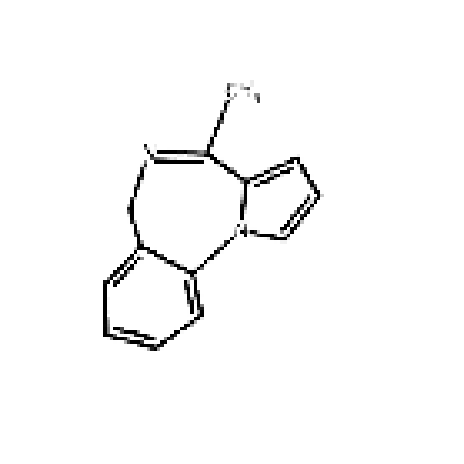 CC1=NCc2ccccc2-n2cccc21